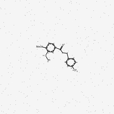 COc1ccc(C(=O)CCc2ccc(C(F)(F)F)cc2)cc1OC(C)C